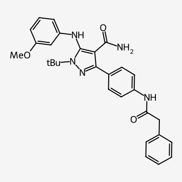 COc1cccc(Nc2c(C(N)=O)c(-c3ccc(NC(=O)Cc4ccccc4)cc3)nn2C(C)(C)C)c1